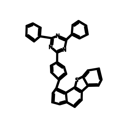 c1ccc(-c2nc(-c3ccccc3)nc(-c3ccc(-c4cccc5ccc6c7ccccc7sc6c45)cc3)n2)cc1